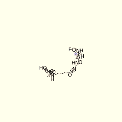 Cc1[nH]c(/C=C2\C(=O)Nc3ccc(F)cc32)c(C)c1C(=O)NCCCN1CCN(C(=O)CCCCCCCCC(=O)N[C@H](C(=O)N2CC[C@@H](O)C2)C(C)(C)C)CC1